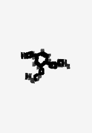 COc1[c]c(O)ccc1OC